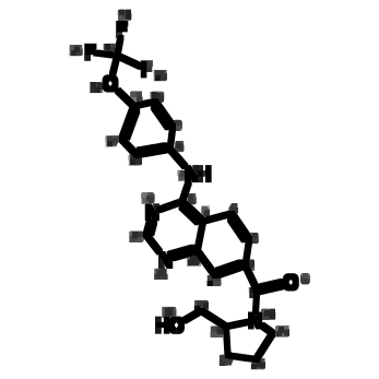 O=C(c1ccc2c(Nc3ccc(OC(F)(F)F)cc3)ncnc2c1)N1CCCC1CO